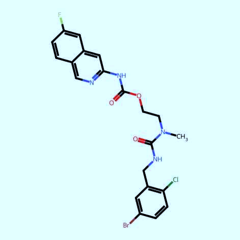 CN(CCOC(=O)Nc1cc2cc(F)ccc2cn1)C(=O)NCc1cc(Br)ccc1Cl